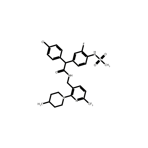 CC1CCN(c2nc(C(F)(F)F)ccc2CNC(=O)C(c2ccc(Cl)cc2)c2ccc(NS(C)(=O)=O)c(F)c2)CC1